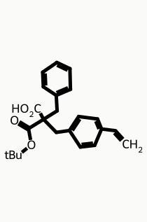 C=Cc1ccc(CC(Cc2ccccc2)(C(=O)O)C(=O)OC(C)(C)C)cc1